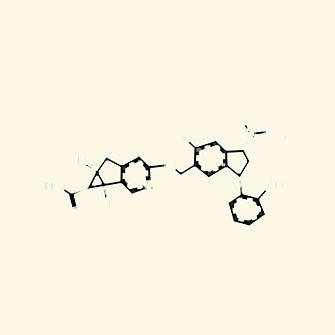 Cc1ccccc1[C@@H]1C[C@@H](N(C)C)c2cc(F)c(COc3cc4c(cn3)[C@H]3[C@@H](C4)[C@@H]3C(=O)O)cc21